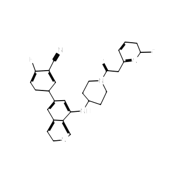 N#CC1=CC(c2cc(NC3CCN(C(=O)CC4=NC(F)CC=C4)CC3)c3c(c2)=CCNC=3)CC=C1F